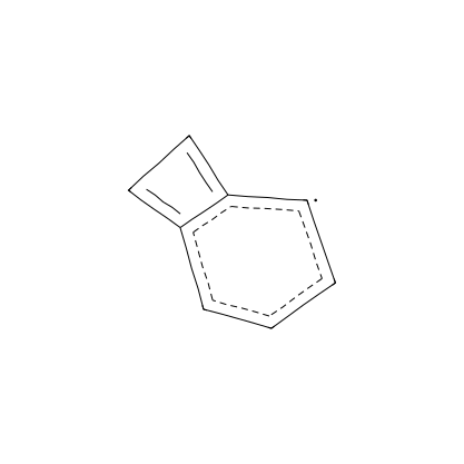 [c]1cccc2c1=CC=2